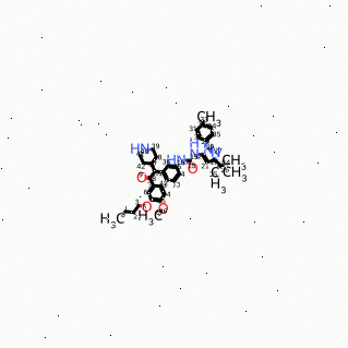 CCCCOc1cc(C(=O)C(c2cccc(NC(=O)Nc3cc(C(C)(C)C)nn3-c3ccc(C)cc3)c2)C2CCNCC2)ccc1OC